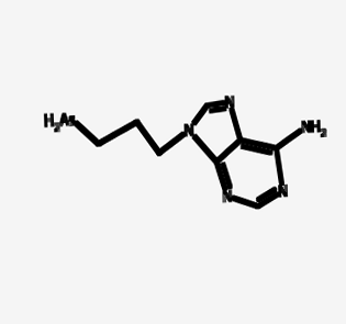 Nc1ncnc2c1ncn2CCC[AsH2]